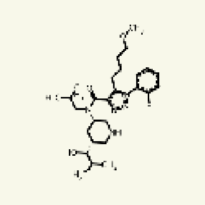 COCCCCc1c(C(=O)N(CC(C)C)[C@@H]2CNC[C@H](C(O)C(C)C)C2)nnn1-c1ccccc1F